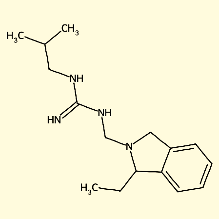 CCC1c2ccccc2CN1CNC(=N)NCC(C)C